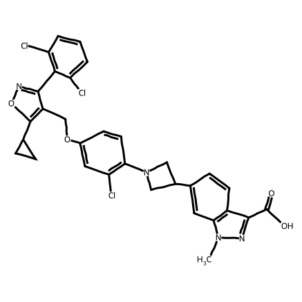 Cn1nc(C(=O)O)c2ccc(C3CN(c4ccc(OCc5c(-c6c(Cl)cccc6Cl)noc5C5CC5)cc4Cl)C3)cc21